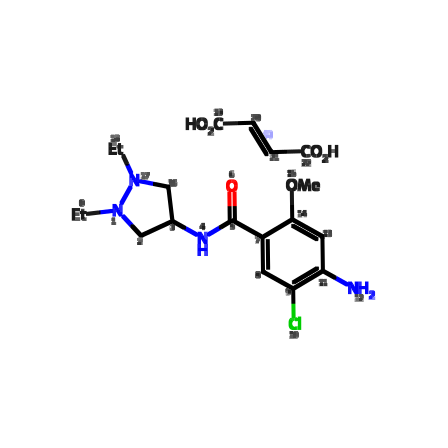 CCN1CC(NC(=O)c2cc(Cl)c(N)cc2OC)CN1CC.O=C(O)/C=C/C(=O)O